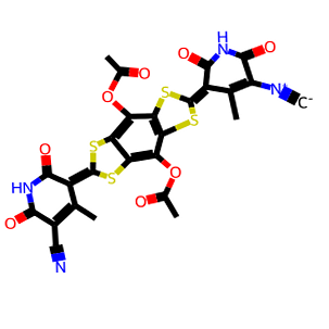 [C-]#[N+]C1=C(C)C(=C2Sc3c(OC(C)=O)c4c(c(OC(C)=O)c3S2)SC(=C2C(=O)NC(=O)C(C#N)=C2C)S4)C(=O)NC1=O